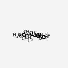 COc1cc(C)c(/C=C/C(C)=C/C=C/C(C)=C/C(=O)Oc2ccc(C(F)(F)F)cc2N)c(C)c1C